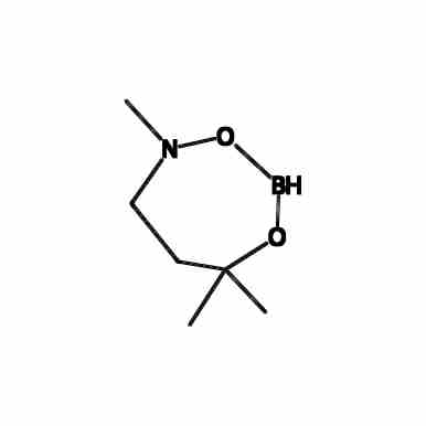 CN1CCC(C)(C)OBO1